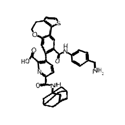 NCc1ccc(NC(=O)c2cc3c(cc2-c2ccc(C(=O)NC45CC6CC(CC(C6)C4)C5)nc2C(=O)O)OCCc2ccsc2-3)cc1